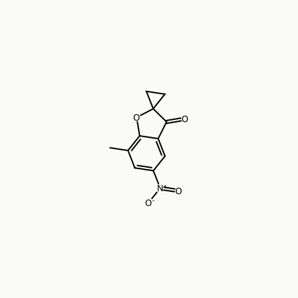 Cc1cc([N+](=O)[O-])cc2c1OC1(CC1)C2=O